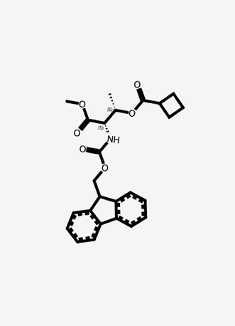 COC(=O)[C@@H](NC(=O)OCC1c2ccccc2-c2ccccc21)[C@H](C)OC(=O)C1CCC1